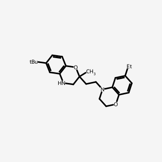 CCc1ccc2c(c1)N(CCC1(C)CNc3cc(C(C)(C)C)ccc3O1)CCO2